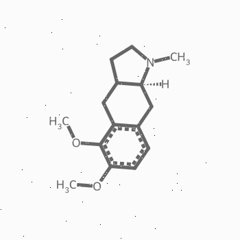 COc1ccc2c(c1OC)CC1CCN(C)[C@H]1C2